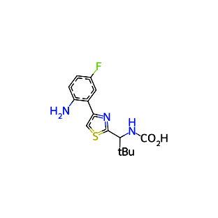 CC(C)(C)C(NC(=O)O)c1nc(-c2cc(F)ccc2N)cs1